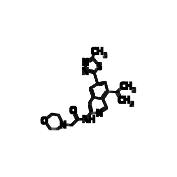 C=C(C)c1cc(-c2nnc(C)s2)cc2cc(NC(=O)CN3CCOCC3)ncc12